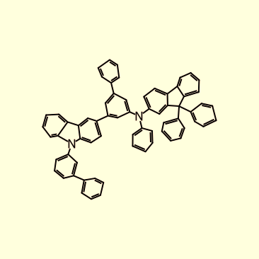 c1ccc(-c2cc(-c3ccc4c(c3)c3ccccc3n4-c3cccc(-c4ccccc4)c3)cc(N(c3ccccc3)c3ccc4c(c3)C(c3ccccc3)(c3ccccc3)c3ccccc3-4)c2)cc1